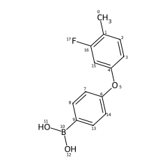 Cc1ccc(Oc2ccc(B(O)O)cc2)cc1F